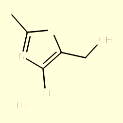 Cc1nc(C(F)(F)F)c(CO)s1.Cl